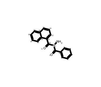 NN(C(=O)c1ccccc1)C(=O)c1cccc2ccccc12